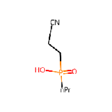 CCCP(=O)(O)CCC#N